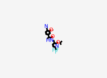 COc1cc(C(C)C(=O)NCc2ccc(C(F)(F)F)nc2OC(C)C)ccc1C#N